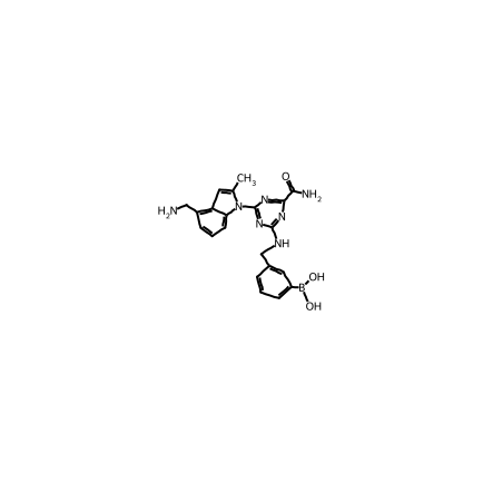 Cc1cc2c(CN)cccc2n1-c1nc(NCc2cccc(B(O)O)c2)nc(C(N)=O)n1